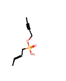 CC#CCOP(=O)(O)CC=CC